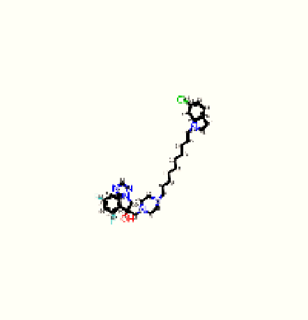 OC(CN1CCN(CCCCCCCCCCn2ccc3ccc(Cl)cc32)CC1)(Cn1cncn1)c1ccc(F)cc1F